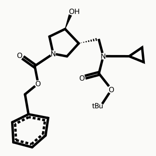 CC(C)(C)OC(=O)N(C[C@@H]1CN(C(=O)OCc2ccccc2)C[C@H]1O)C1CC1